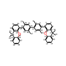 Cc1cc(-c2cccc3c2Oc2ccccc2C3(C)C)c(C)cc1-c1cc(C)c(-c2cccc3c2Oc2ccccc2[Si]3(C)C)cc1C